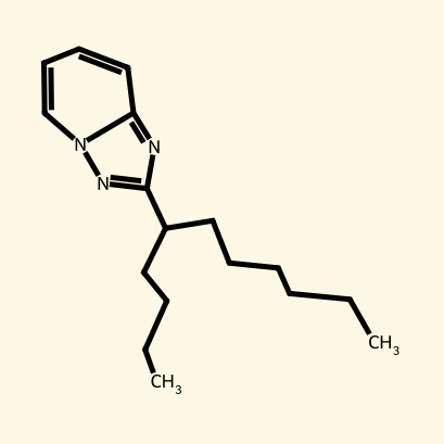 CCCCCCC(CCCC)c1nc2ccccn2n1